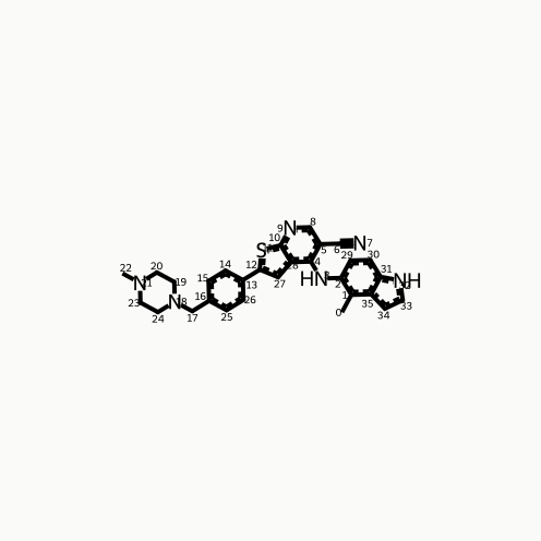 Cc1c(Nc2c(C#N)cnc3sc(-c4ccc(CN5CCN(C)CC5)cc4)cc23)ccc2[nH]ccc12